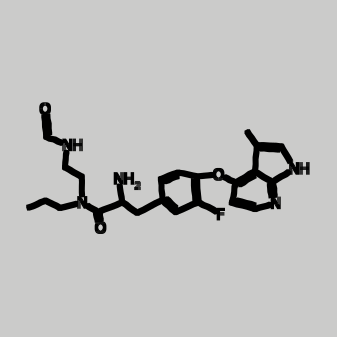 CCCN(CCNC=O)C(=O)C(N)Cc1ccc(Oc2ccnc3[nH]cc(C)c23)c(F)c1